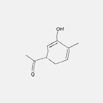 CC(=O)C1C=C(O)C(C)=CC1